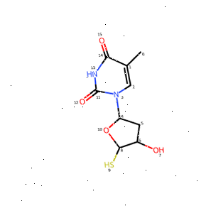 Cc1cn(C2CC(O)C(S)O2)c(=O)[nH]c1=O